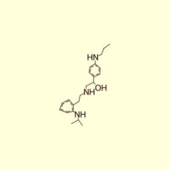 CCCNc1ccc(C(O)CNCCc2ccccc2NC(C)C)cc1